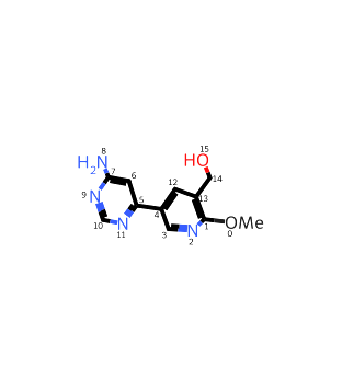 COc1ncc(-c2cc(N)ncn2)cc1CO